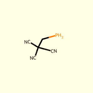 N#CC(C#N)(C#N)CP